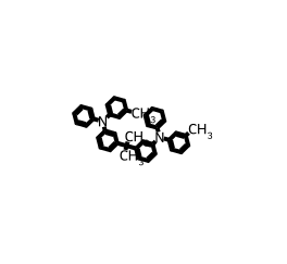 CC1=CC(N(c2ccccc2)c2cccc(C(C)(C)c3cccc(N(C4=CCCC=C4)c4cccc(C)c4)c3)c2)=CCC1